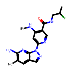 CC(F)CNC(=O)c1cnc(-n2ncc3cc(C#N)c(N)nc32)cc1NC(C)C